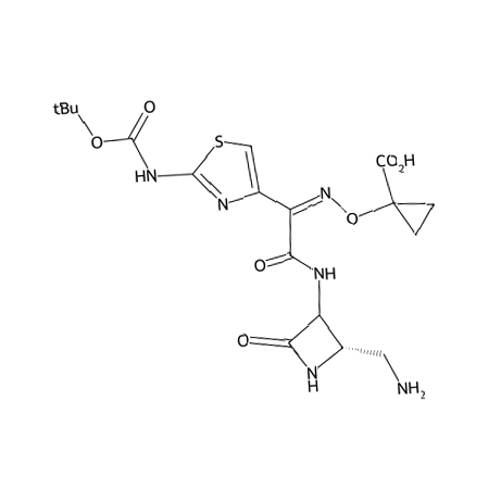 CC(C)(C)OC(=O)Nc1nc(/C(=N/OC2(C(=O)O)CC2)C(=O)NC2C(=O)N[C@H]2CN)cs1